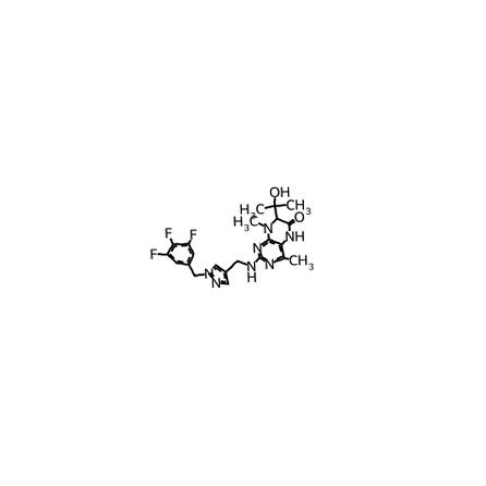 Cc1nc(NCc2cnn(Cc3cc(F)c(F)c(F)c3)c2)nc2c1NC(=O)C(C(C)(C)O)N2C